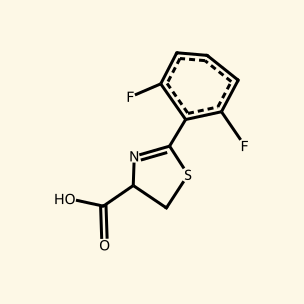 O=C(O)C1CSC(c2c(F)cccc2F)=N1